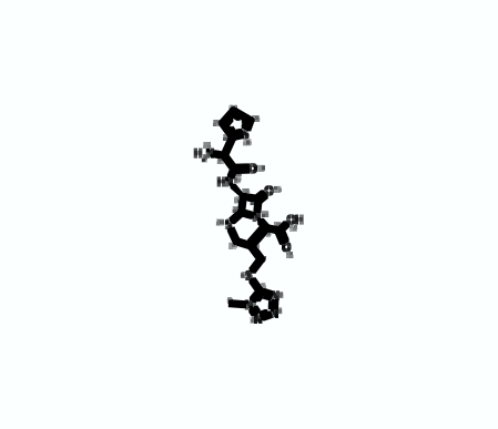 Cn1nnnc1SCC1=C(C(=O)O)N2C(=O)[C@H](NC(=O)C(N)c3cccs3)C2SC1